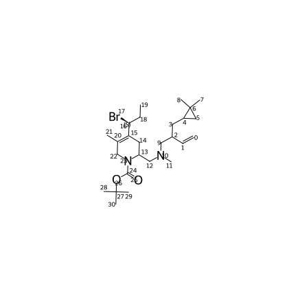 C=CC(CC1CC1(C)C)CN(C)CC1CC([C@@H](Br)CC)=C(C)CN1C(=O)OC(C)(C)C